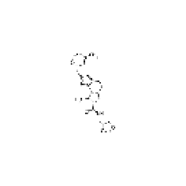 Cc1c(C(=O)NC[C@@H]2COCO2)oc2c1-c1nn(C[C@H]3CN(C)CCO3)cc1CC2